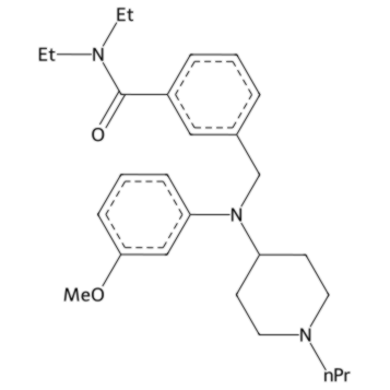 CCCN1CCC(N(Cc2cccc(C(=O)N(CC)CC)c2)c2cccc(OC)c2)CC1